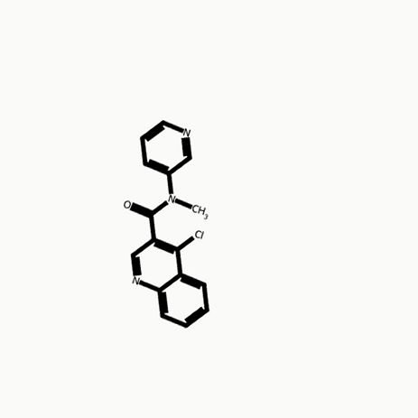 CN(C(=O)c1cnc2ccccc2c1Cl)c1cccnc1